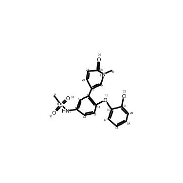 Cn1cc(-c2cc(NS(C)(=O)=O)ccc2Oc2ccccc2Cl)ccc1=O